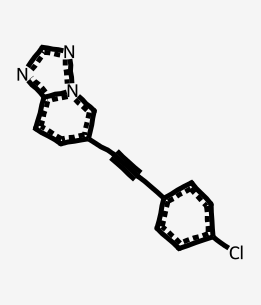 Clc1ccc(C#Cc2ccc3ncnn3c2)cc1